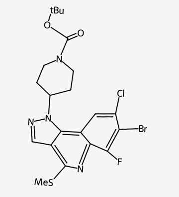 CSc1nc2c(F)c(Br)c(Cl)cc2c2c1cnn2C1CCN(C(=O)OC(C)(C)C)CC1